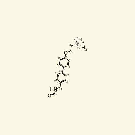 CN(C)CCOc1ccc(-c2ccc(CNC=O)cc2)cc1